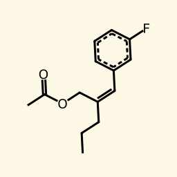 CCCC(=Cc1cccc(F)c1)COC(C)=O